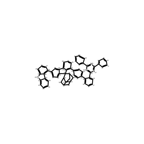 c1ccc(-c2nc(-c3ccccc3)nc(-c3ccccc3-c3ccc(-c4cccc5c4C4(c6ccc(-c7cccc8oc9ccccc9c78)cc6-5)C5CC6CC(C5)CC4C6)cc3)n2)cc1